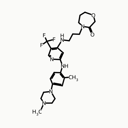 Cc1cc(N2CCN(C)CC2)ccc1Nc1cc(NCCCN2CCCOCC2=O)c(C(F)(F)F)cn1